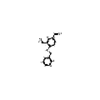 O=Cc1ccc(OCc2ccccc2)c(C=O)c1